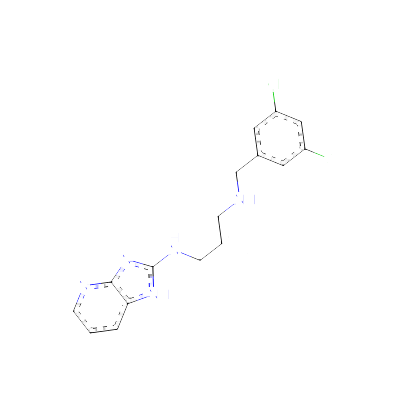 C[C@@H](CNCc1cc(Cl)cc(Cl)c1)CNc1nc2ncccc2[nH]1